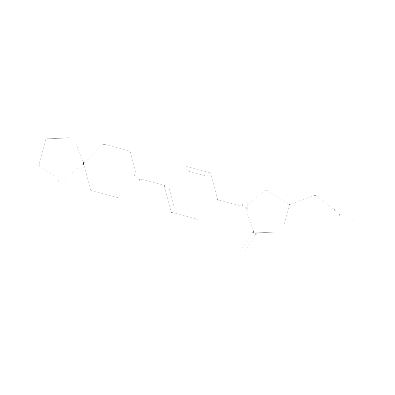 NCC1CN(c2ccc(N3CCC4(CC3)OCCO4)c(F)c2)C(=O)O1